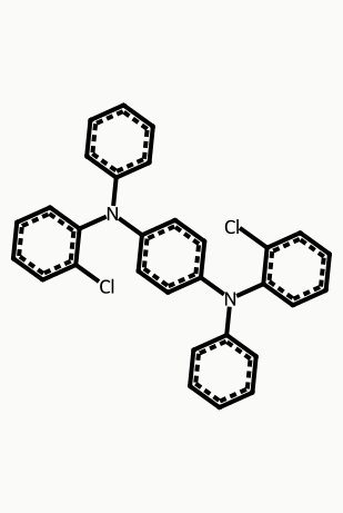 Clc1ccccc1N(c1ccccc1)c1ccc(N(c2ccccc2)c2ccccc2Cl)cc1